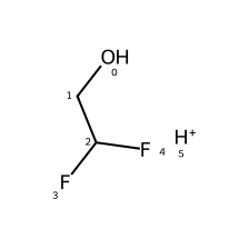 OCC(F)F.[H+]